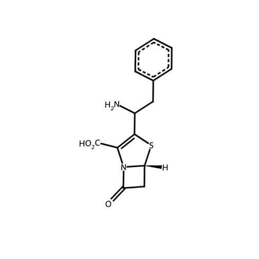 NC(Cc1ccccc1)C1=C(C(=O)O)N2C(=O)C[C@H]2S1